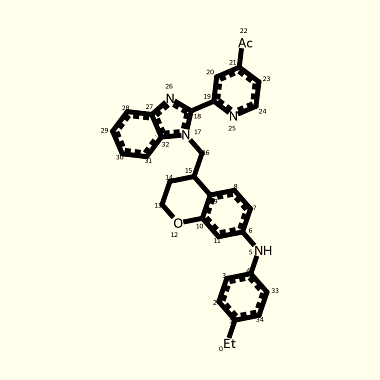 CCc1ccc(Nc2ccc3c(c2)OCCC3Cn2c(-c3cc(C(C)=O)ccn3)nc3ccccc32)cc1